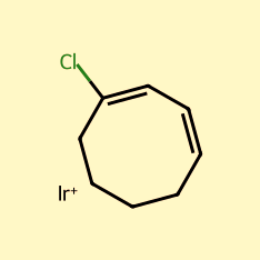 ClC1=CC=CCCCC1.[Ir+]